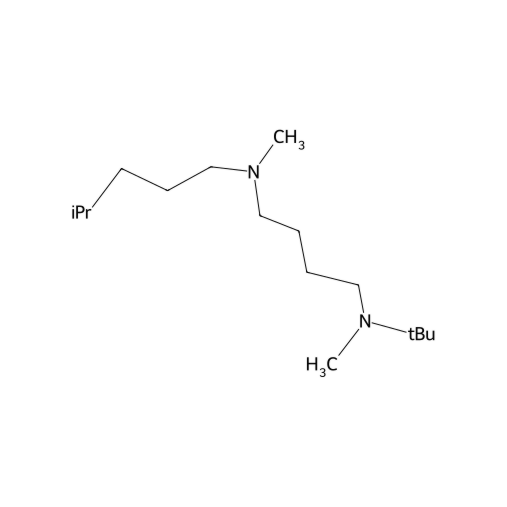 CC(C)CCCN(C)CCCCN(C)C(C)(C)C